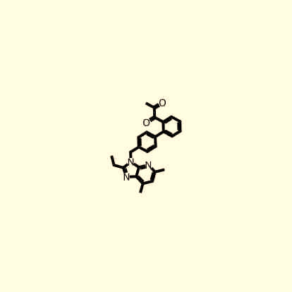 CCc1nc2c(C)cc(C)nc2n1Cc1ccc(-c2ccccc2C(=O)C(C)=O)cc1